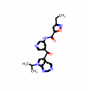 CCc1cc(C(=O)Nc2cncc(C(=O)c3cn(C(C)C)c4ncncc34)c2)on1